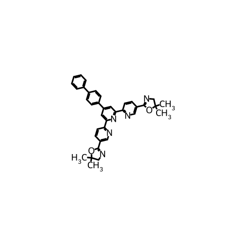 CC1(C)CN=C(c2ccc(-c3cc(-c4ccc(-c5ccccc5)cc4)cc(-c4ccc(C5=NCC(C)(C)O5)cn4)n3)nc2)O1